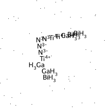 [BiH3].[BiH3].[BiH3].[GaH3].[GaH3].[GaH3].[N-3].[N-3].[N-3].[N-3].[Ti+4].[Ti+4].[Ti+4]